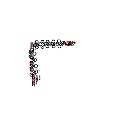 O=[Si]([O-])[O-].O=[Si]([O-])[O-].O=[Si]([O-])[O-].O=[Si]([O-])[O-].O=[Si]([O-])[O-].O=[Si]([O-])[O-].O=[Si]([O-])[O-].O=[Si]([O-])[O-].O=[Si]([O-])[O-].[K+].[K+].[K+].[K+].[K+].[K+].[Li+].[Li+].[Li+].[Li+].[Li+].[Li+].[Na+].[Na+].[Na+].[Na+].[Na+].[Na+]